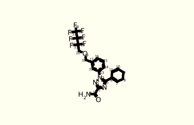 NC(=O)c1nc(C2=CCCC=C2)n(-c2cccc(COCC(F)(F)C(F)(F)C(F)(F)F)c2)n1